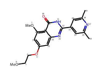 COCCOc1cc(OC)c2c(=O)[nH]c(-c3cc(C)nc(C)c3)nc2c1